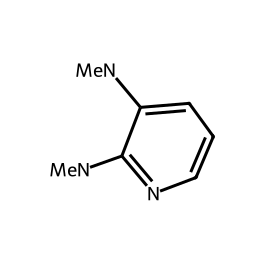 CNc1cccnc1NC